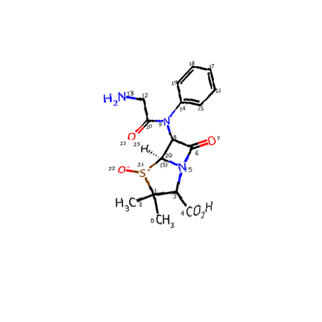 CC1(C)C(C(=O)O)N2C(=O)C(N(C(=O)CN)c3ccccc3)[C@@H]2[S+]1[O-]